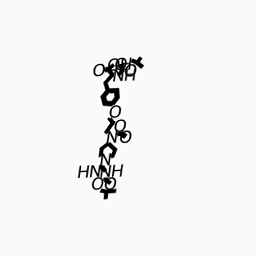 CC(C)(C)OC(=O)NC(=N)N1CCC(N2CC(COc3ccc(CC(NC(=O)OC(C)(C)C)C(=O)O)cc3)OC2=O)CC1